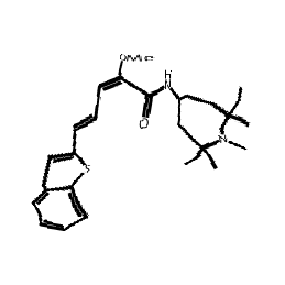 COC(=CC=Cc1cc2ccccc2s1)C(=O)NC1CC(C)(C)N(C)C(C)(C)C1